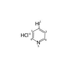 Cl.I.c1ccncc1